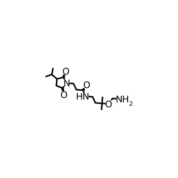 CC(C)C1CC(=O)N(CCC(=O)NCCC(C)(C)OCN)C1=O